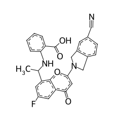 CC(Nc1ccccc1C(=O)O)c1cc(F)cc2c(=O)cc(N3Cc4ccc(C#N)cc4C3)oc12